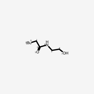 CC(C)(C)CC(=O)NCCO